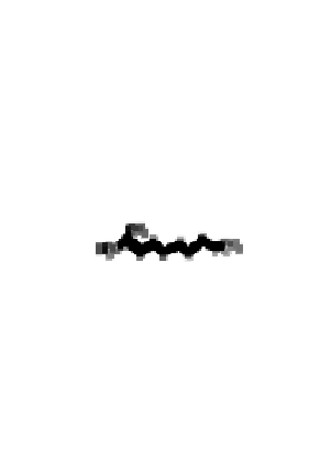 C=CCCC[CH]CC=C(C)C